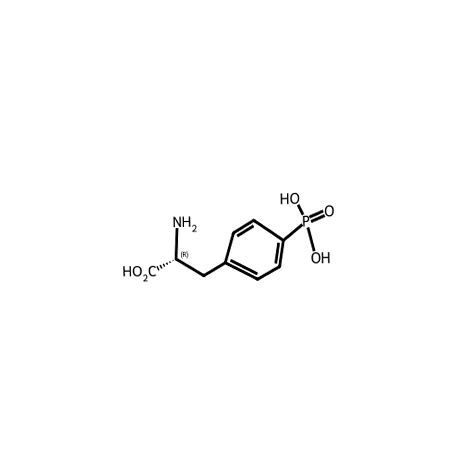 N[C@H](Cc1ccc(P(=O)(O)O)cc1)C(=O)O